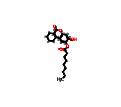 CCCCCCCCC(=O)Oc1cc2c3c(c(=O)oc2cc1O)CCCC3